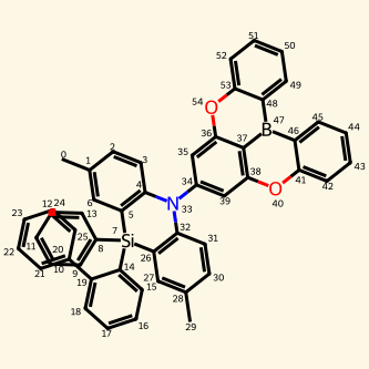 Cc1ccc2c(c1)[Si](c1ccccc1)(c1ccccc1-c1ccccc1)c1cc(C)ccc1N2c1cc2c3c(c1)Oc1ccccc1B3c1ccccc1O2